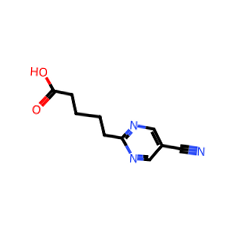 N#Cc1cnc(CCCCC(=O)O)nc1